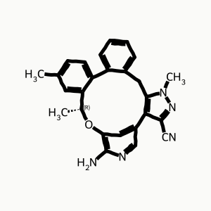 Cc1ccc2c(c1)[C@@H](C)Oc1cc(cnc1N)-c1c(C#N)nn(C)c1Cc1ccccc1-2